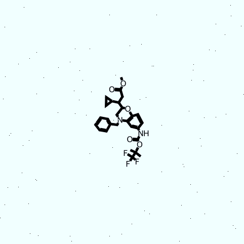 COC(=O)CC(C1CC1)C1CN(Cc2ccccc2)c2cc(NC(=O)OC(C)(C)C(F)(F)F)ccc2O1